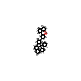 c1ccc(C2(c3ccccc3)c3cc(-c4ccc5c(c4)-c4cccc6cccc(c46)O5)ccc3-c3ccc4ccccc4c32)cc1